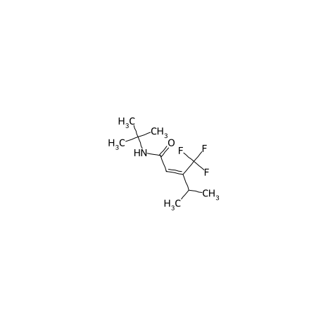 CC(C)/C(=C/C(=O)NC(C)(C)C)C(F)(F)F